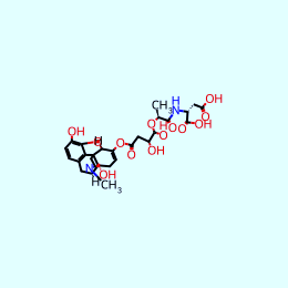 C[C@H](OC(O)[C@@H](O)CC(=O)OC1=CC[C@@]2(O)[C@H]3Cc4ccc(O)c5c4C2(CCN3C)[C@H]1O5)C(=O)N[C@H](CC(=O)O)C(=O)O